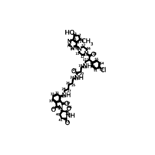 C[C@@H]1C[C@@H](O)c2ncnc(N3CCN(C(=O)C(CNCCC(=O)NCCCCCNc4cccc5c4C(=O)N(C4CCC(=O)NC4=O)C5=O)c4ccc(Cl)cc4)CC3)c21